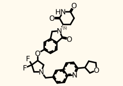 O=C1CC[C@H](N2Cc3cc(OC4CN(Cc5ccc6nc(C7CCOC7)ccc6c5)CC4(F)F)ccc3C2=O)C(=O)N1